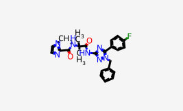 Cn1ccnc1C(=O)NC(C)(C)C(=O)Nc1nc(-c2ccc(F)cc2)n(Cc2ccccc2)n1